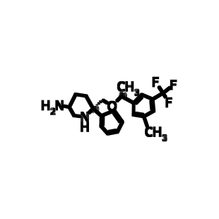 Cc1cc([C@@H](C)OC[C@@]2(c3ccccc3)CCC(N)CN2)cc(C(F)(F)F)c1